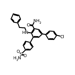 NC(=O)c1cc(-c2ccc(Cl)cc2)cc(-c2ccc(S(N)(=O)=O)cc2)c1NCCc1ccccc1